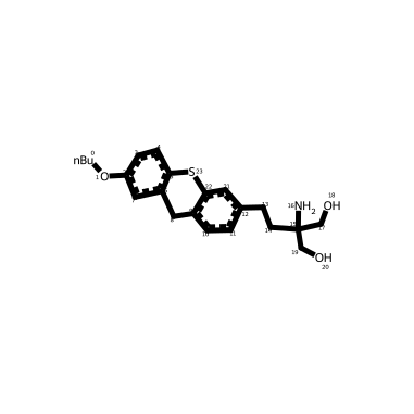 CCCCOc1ccc2c(c1)Cc1ccc(CCC(N)(CO)CO)cc1S2